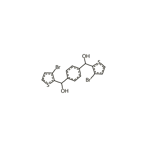 OC(c1ccc(C(O)c2sccc2Br)cc1)c1sccc1Br